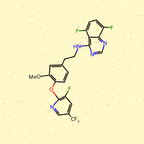 COc1cc(CCNc2ncnc3c(F)ccc(F)c23)ccc1Oc1ncc(C(F)(F)F)cc1F